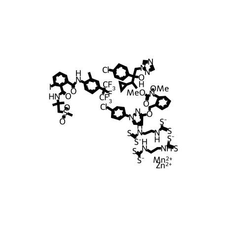 CC(C1CC1)C(O)(Cn1cncn1)c1ccc(Cl)cc1.COC(=O)N(OC)c1ccccc1COc1ccn(-c2ccc(Cl)cc2)n1.Cc1cc(C(F)(C(F)(F)F)C(F)(F)F)ccc1NC(=O)c1cccc(I)c1C(=O)NC(C)(C)CS(C)(=O)=O.S=C([S-])NCCNC(=S)[S-].S=C([S-])NCCNC(=S)[S-].[Mn+2].[Zn+2]